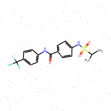 CC(C)S(=O)(=O)Nc1ccc(C(=O)Nc2ccc(C(F)(F)F)cc2)cc1